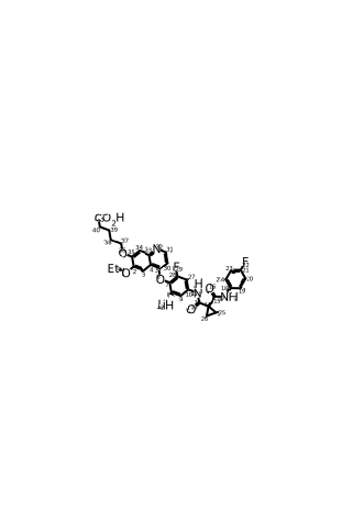 CCOc1cc2c(Oc3ccc(NC(=O)C4(C(=O)Nc5ccc(F)cc5)CC4)cc3F)ccnc2cc1OCCCCC(=O)O.[LiH]